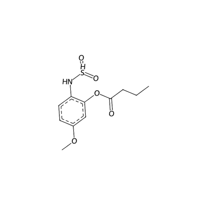 CCCC(=O)Oc1cc(OC)ccc1N[SH](=O)=O